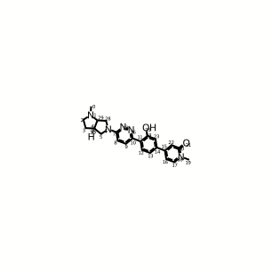 CN1CC[C@@H]2CN(c3ccc(-c4ccc(-c5ccn(C)c(=O)c5)cc4O)nn3)CC21